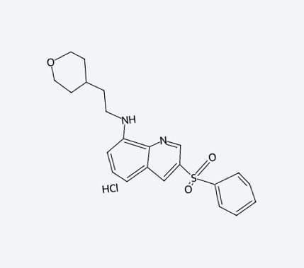 Cl.O=S(=O)(c1ccccc1)c1cnc2c(NCCC3CCOCC3)cccc2c1